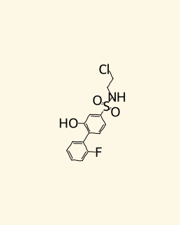 O=S(=O)(NCCCl)c1ccc(-c2ccccc2F)c(O)c1